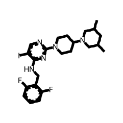 CC1CC(C)CN(C2CCN(c3ncc(I)c(NCc4c(F)cccc4F)n3)CC2)C1